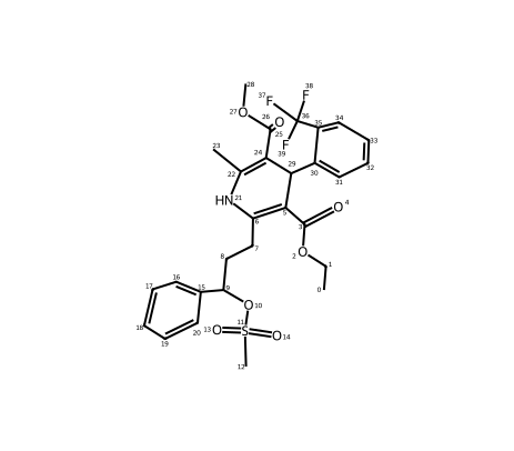 CCOC(=O)C1=C(CCC(OS(C)(=O)=O)c2ccccc2)NC(C)=C(C(=O)OC)C1c1ccccc1C(F)(F)F